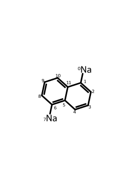 [Na][c]1cccc2[c]([Na])cccc12